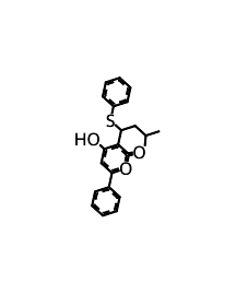 CC(C)CC(Sc1ccccc1)c1c(O)cc(-c2ccccc2)oc1=O